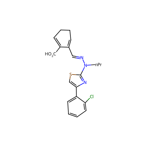 CCCN(/N=C/C1=CCCC=C1C(=O)O)c1nc(-c2ccccc2Cl)cs1